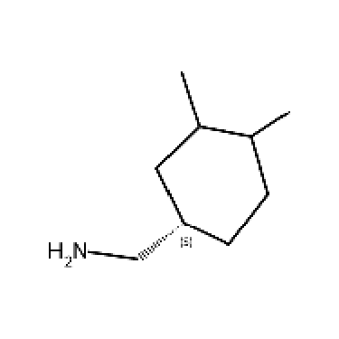 CC1CC[C@H](CN)CC1C